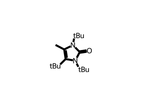 Cc1c(C(C)(C)C)n(C(C)(C)C)c(=O)n1C(C)(C)C